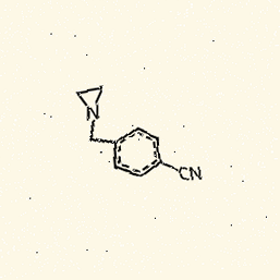 N#Cc1ccc(CN2CC2)cc1